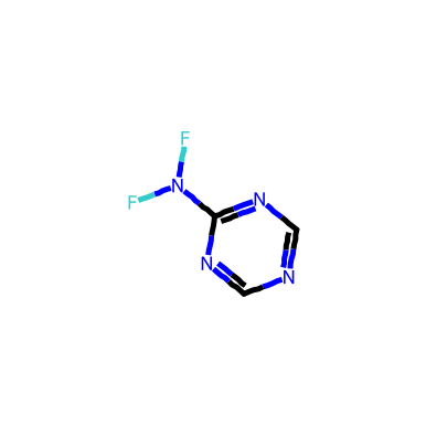 FN(F)c1ncncn1